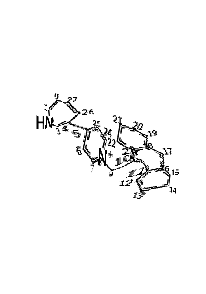 C1=CNC=C(c2cc[n+](Cc3c4ccccc4cc4ccccc34)cc2)C=C1